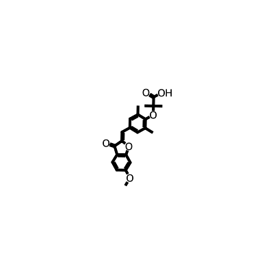 COc1ccc2c(c1)OC(=Cc1cc(C)c(OC(C)(C)C(=O)O)c(C)c1)C2=O